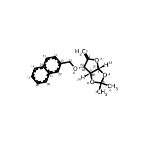 C=C1O[C@@H]2OC(C)(C)O[C@@H]2[C@@H]1OCc1ccc2ccccc2c1